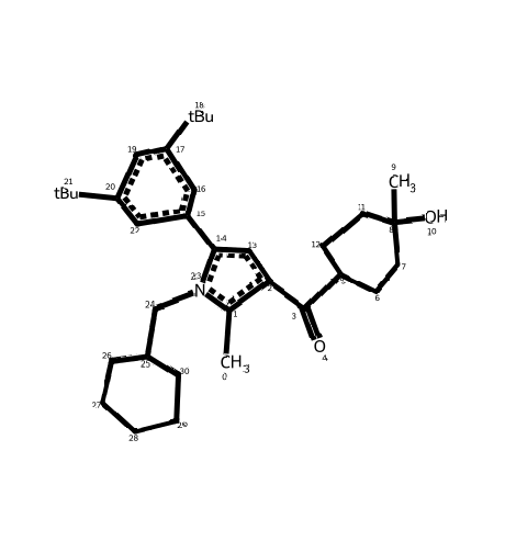 Cc1c(C(=O)C2CCC(C)(O)CC2)cc(-c2cc(C(C)(C)C)cc(C(C)(C)C)c2)n1CC1CCCCC1